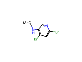 CONc1cnc(Br)cc1Br